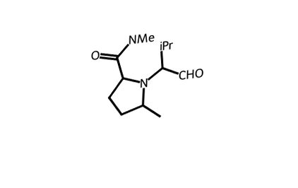 CNC(=O)C1CCC(C)N1C(C=O)C(C)C